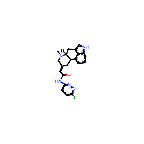 CN1C/C(=C/C(=O)Nc2ccc(Cl)nn2)CC2c3cccc4[nH]cc(c34)C[C@H]21